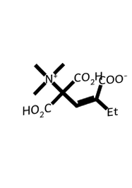 CCC(=CC(C(=O)O)(C(=O)O)[N+](C)(C)C)C(=O)[O-]